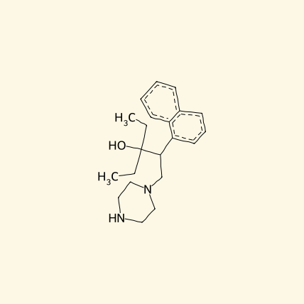 CCC(O)(CC)C(CN1CCNCC1)c1cccc2ccccc12